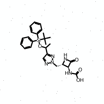 CC(O[Si](c1ccccc1)(c1ccccc1)C(C)(C)C)c1cnn(C[C@@H]2NC(=O)[C@H]2NC(=O)O)n1